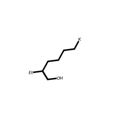 CCC(CO)CCC[CH2][K]